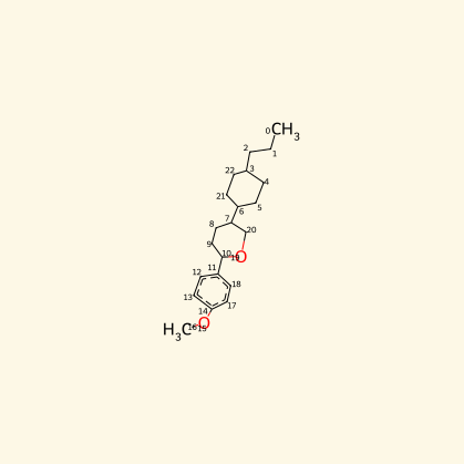 CCCC1CCC(C2CCC(c3ccc(OC)cc3)OC2)CC1